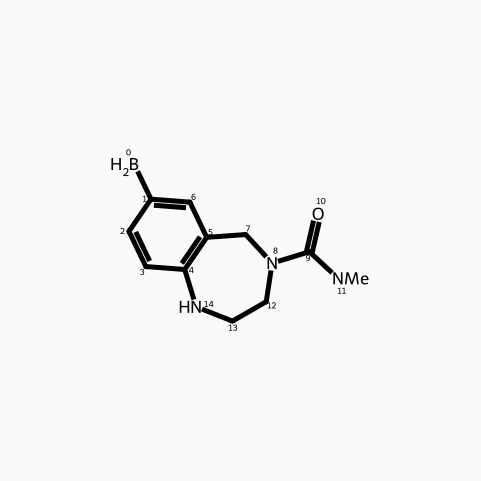 Bc1ccc2c(c1)CN(C(=O)NC)CCN2